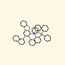 c1ccc(-c2c(-c3cccc4ccccc34)cc3c(c2N(c2ccccc2)c2ccccc2[Si](c2ccccc2)(c2ccccc2)c2ccccc2)Cc2ccccc2-3)cc1